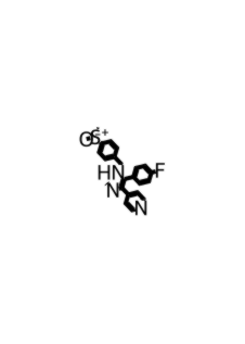 C=N/C(=C(\NCc1ccc([S@+](C)[O-])cc1)c1ccc(F)cc1)c1ccncc1